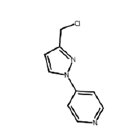 ClCc1ccn(-c2ccncc2)n1